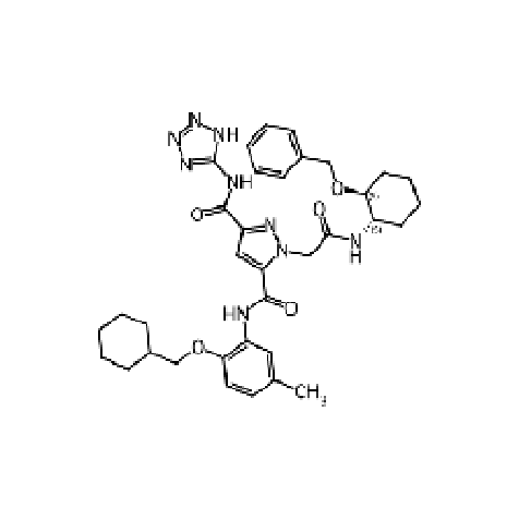 Cc1ccc(OCC2CCCCC2)c(NC(=O)c2cc(C(=O)Nc3nnn[nH]3)nn2CC(=O)N[C@H]2CCCC[C@@H]2OCc2ccccc2)c1